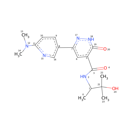 CC(NC(=O)c1cc(-c2ccc(N(C)C)nc2)n[nH]c1=O)C(C)(C)O